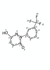 O=c1ccc(O)nn1-c1cccc(C(F)(F)F)c1